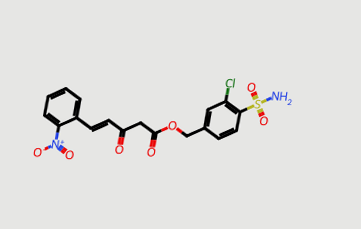 NS(=O)(=O)c1ccc(COC(=O)CC(=O)C=Cc2ccccc2[N+](=O)[O-])cc1Cl